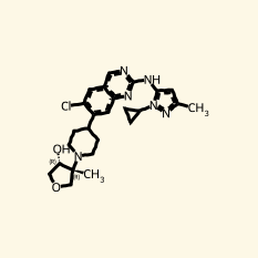 Cc1cc(Nc2ncc3cc(Cl)c(C4CCN([C@]5(C)COC[C@@H]5O)CC4)cc3n2)n(C2CC2)n1